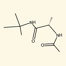 CC(=O)N[C@@H](C)C(=O)NC(C)(C)C